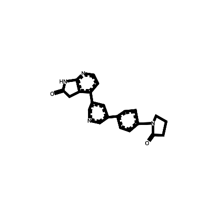 O=C1Cc2c(-c3cncc(-c4ccc(N5CCCC5=O)cc4)c3)ccnc2N1